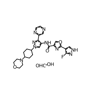 O=C(Nc1cn(C2CCC(N3CCOCC3)CC2)nc1-c1cnccn1)c1coc(-c2c[nH]nc2F)n1.O=CO